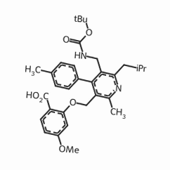 COc1ccc(C(=O)O)c(OCc2c(C)nc(CC(C)C)c(CNC(=O)OC(C)(C)C)c2-c2ccc(C)cc2)c1